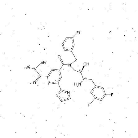 CCCN(CCC)C(=O)c1cc(C(=O)N(Cc2cccc(CC)c2)C[C@@H](O)[C@@H](N)Cc2cc(F)cc(F)c2)cc(-c2nccs2)c1